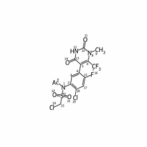 CC(=O)N(c1cc(-c2c(C(F)(F)F)n(C)c(=O)[nH]c2=O)c(F)cc1Cl)S(=O)(=O)CCl